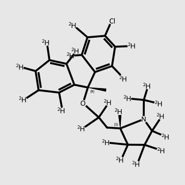 [2H]c1c([2H])c([2H])c([C@@](C)(OC([2H])([2H])C[C@]2([2H])N(C([2H])([2H])[2H])C([2H])([2H])C([2H])([2H])C2([2H])[2H])c2c([2H])c([2H])c(Cl)c([2H])c2[2H])c([2H])c1[2H]